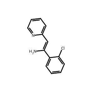 NC(=Cc1ccccn1)c1ccccc1Cl